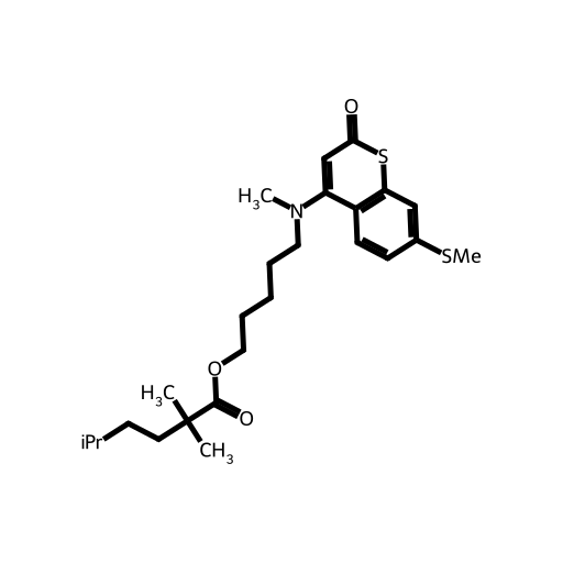 CSc1ccc2c(N(C)CCCCCOC(=O)C(C)(C)CCC(C)C)cc(=O)sc2c1